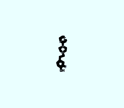 Oc1ccc(CCN2CCN(c3ccccn3)CC2)cc1F